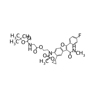 CNC(=O)c1c(-c2ccc(F)cc2)oc2cc(N(CCOC(=O)CNC(=O)OC(C)(C)C)S(C)(=O)=O)c(C3CC3)cc12